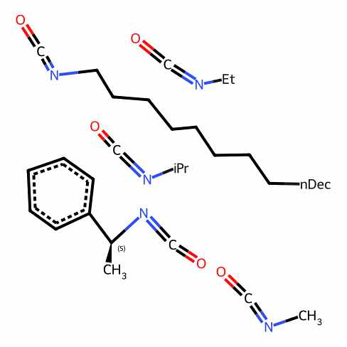 CC(C)N=C=O.CCCCCCCCCCCCCCCCCCN=C=O.CCN=C=O.CN=C=O.C[C@H](N=C=O)c1ccccc1